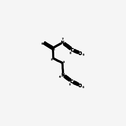 C=C(CCN=C=O)N=C=O